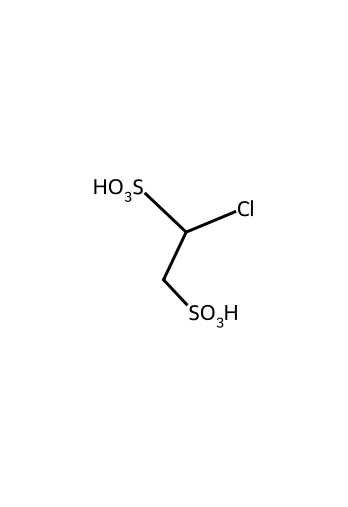 O=S(=O)(O)CC(Cl)S(=O)(=O)O